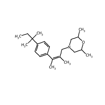 CCC(C)(C)c1ccc(C(C)=C(C)CN2CC(C)OC(C)C2)cc1